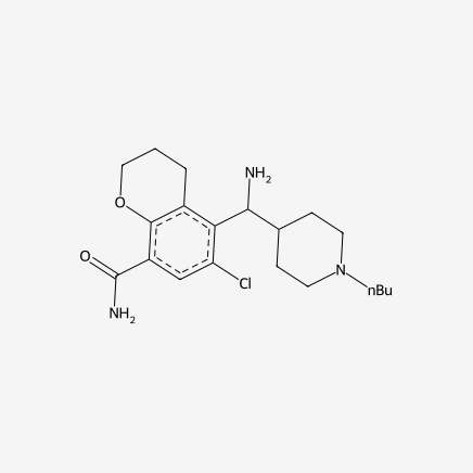 CCCCN1CCC(C(N)c2c(Cl)cc(C(N)=O)c3c2CCCO3)CC1